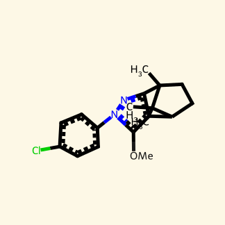 COc1c2c(nn1-c1ccc(Cl)cc1)C1(C)CCC2C1(C)C